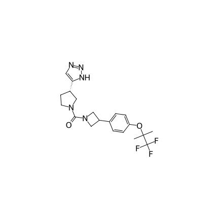 CC(C)(Oc1ccc(C2CN(C(=O)N3CC[C@H](c4cnn[nH]4)C3)C2)cc1)C(F)(F)F